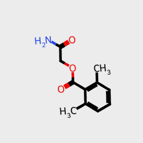 Cc1cccc(C)c1C(=O)OCC(N)=O